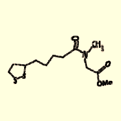 COC(=O)CN(C)C(=O)CCCCC1CCSS1